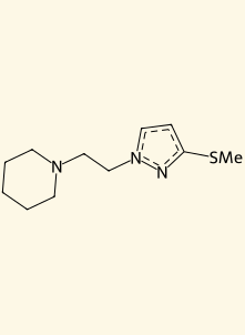 CSc1ccn(CCN2CCCCC2)n1